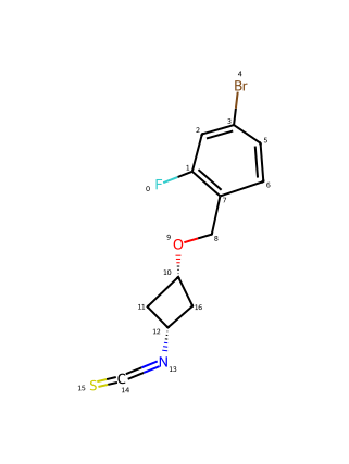 Fc1cc(Br)ccc1CO[C@H]1C[C@@H](N=C=S)C1